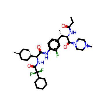 CCC(=O)N[C@@H](C(=O)N1CCN(C)CC1)[C@@H](C)c1ccc(NC(=O)[C@@H](NC(=O)C(F)(F)C2CCCCC2)[C@H]2CC[C@H](C)CC2)c(F)c1